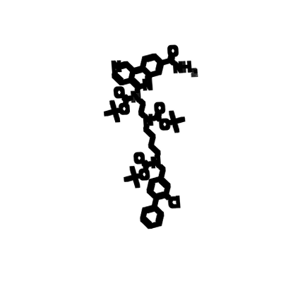 CC(C)(C)OC(=O)N(CCCCN(Cc1ccc(-c2ccccc2)c(Cl)c1)C(=O)OC(C)(C)C)CCN(C(=O)OC(C)(C)C)c1nc2cc(C(N)=O)ccc2c2cnccc12